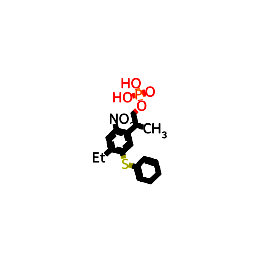 CCc1cc([N+](=O)[O-])c(C(C)COP(=O)(O)O)cc1SC1=CCCC=C1